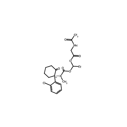 CCC(OC(=O)CNC(=O)C(F)(F)F)OC(=O)N(C)[C@]1(c2ccccc2Cl)CCCCC1=O